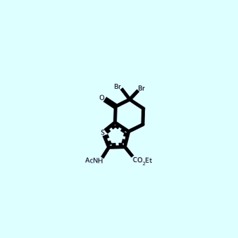 CCOC(=O)c1c(NC(C)=O)sc2c1CCC(Br)(Br)C2=O